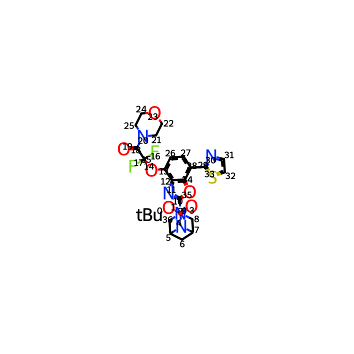 CC(C)(C)OC(=O)N1C2CC1CN(c1nc3c(OC(F)(F)C(=O)N4CCOCC4)ccc(-c4nccs4)c3o1)C2